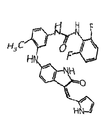 Cc1ccc(NC(=O)Nc2c(F)cccc2F)cc1Nc1ccc2c(c1)NC(=O)C2=Cc1ccc[nH]1